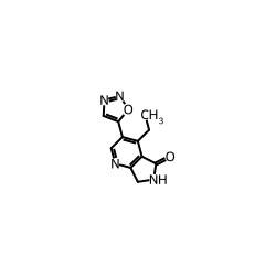 CCc1c(-c2cnno2)cnc2c1C(=O)NC2